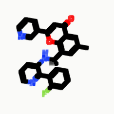 Cc1cc([C@@H](C)Nc2cccnc2-c2ccccc2F)c2oc(-c3cccnc3)cc(=O)c2c1